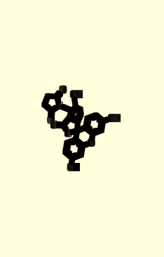 O=C1OC2(c3ccc(O)cc3Oc3cc(O)ccc32)c2ccc(O)c(N3C(=O)CCC3=O)c21